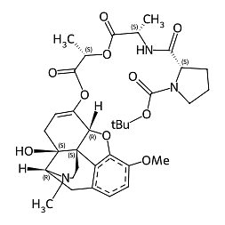 COc1ccc2c3c1O[C@H]1C(OC(=O)[C@H](C)OC(=O)[C@H](C)NC(=O)[C@@H]4CCCN4C(=O)OC(C)(C)C)=CC[C@@]4(O)[C@@H](C2)N(C)CC[C@]314